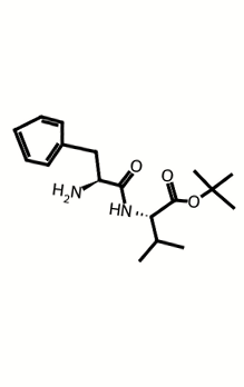 CC(C)[C@H](NC(=O)[C@@H](N)Cc1ccccc1)C(=O)OC(C)(C)C